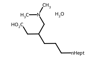 CCCCCCCCCCC(CC(=O)O)CN(C)C.O